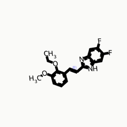 CCOc1c(/C=C/c2nc3cc(F)c(F)cc3[nH]2)cccc1OC